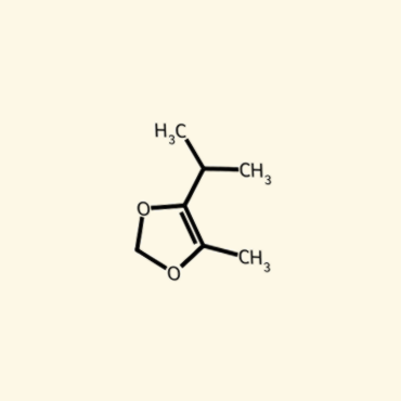 CC1=C(C(C)C)OCO1